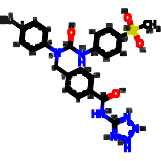 CCC(C)c1ccc(N(Cc2ccc(C(=O)Nc3nn[nH]n3)cc2)C(=O)Nc2ccc(S(C)(=O)=O)cc2)cc1